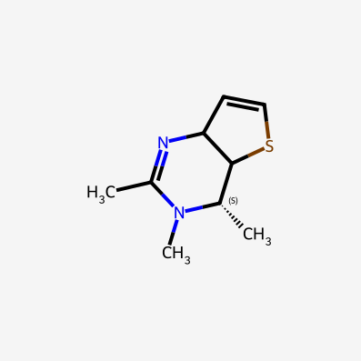 CC1=NC2C=CSC2[C@H](C)N1C